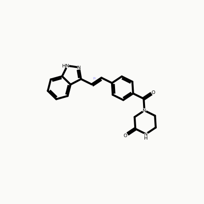 O=C1CN(C(=O)c2ccc(/C=C/c3n[nH]c4ccccc34)cc2)CCN1